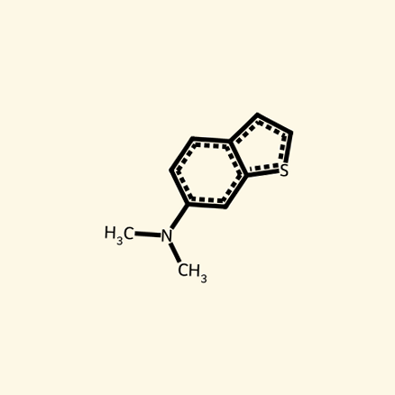 CN(C)c1ccc2ccsc2c1